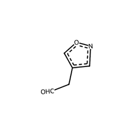 O=CCc1cnoc1